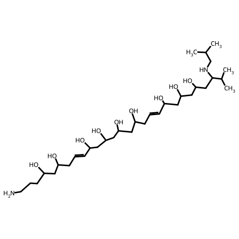 CC(C)CNC(CC(O)CC(O)CC(O)/C=C/CC(O)CC(O)CC(O)CC(O)/C=C/CC(O)CC(O)CCCN)C(C)C